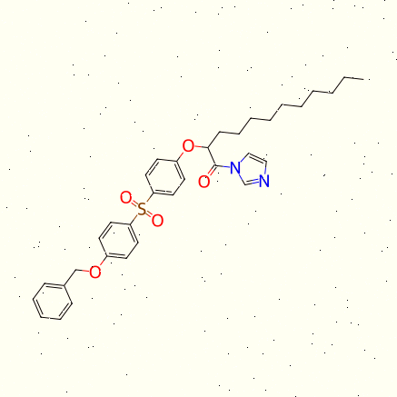 CCCCCCCCCCC(Oc1ccc(S(=O)(=O)c2ccc(OCc3ccccc3)cc2)cc1)C(=O)n1ccnc1